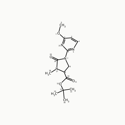 COc1ccnc(N2CC(C(=O)OC(C)(C)C)N(C)C2=O)n1